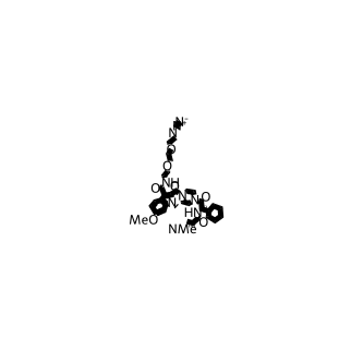 CN[C@@H](C)C(=O)N[C@H](C(=O)N1CCN(C(=O)c2c(C(=O)NCCOCCOCCN=[N+]=[N-])c3ccc(OC)cc3n2C)CC1)C1CCCCC1